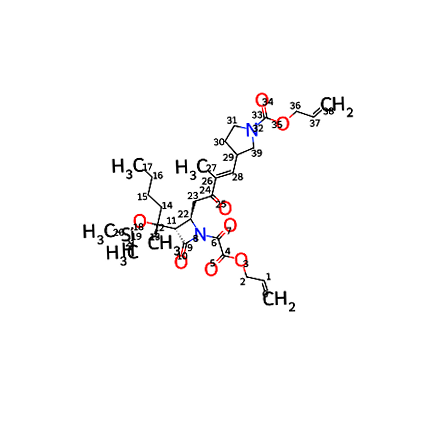 C=CCOC(=O)C(=O)N1C(=O)[C@H]([C@@](C)(CCCC)O[SiH](C)C)[C@H]1CC(=O)/C(C)=C/C1CCN(C(=O)OCC=C)C1